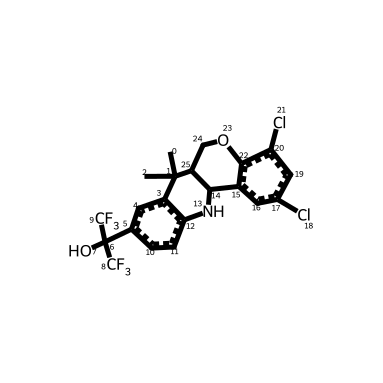 CC1(C)c2cc(C(O)(C(F)(F)F)C(F)(F)F)ccc2NC2c3cc(Cl)cc(Cl)c3OCC21